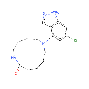 O=C1CCCCN(c2cc(Cl)cc3[nH]ncc23)CCCCN1